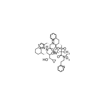 CN(CCc1ccccn1)C(=O)C(C)(C)S(=O)(=O)C[C@@H](Cc1ccccc1)C(=O)N[C@@H](Cc1cscn1)C(=O)N[C@@H](CC1CCCCC1)[C@@H](O)[C@@H](O)C1CC1